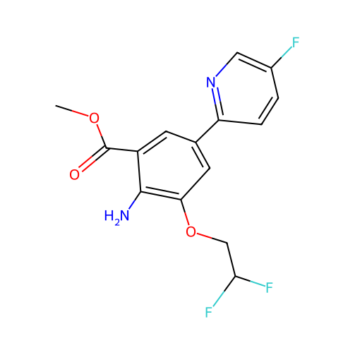 COC(=O)c1cc(-c2ccc(F)cn2)cc(OCC(F)F)c1N